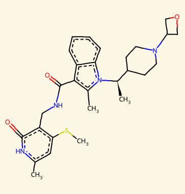 CSc1cc(C)[nH]c(=O)c1CNC(=O)c1c(C)n([C@H](C)C2CCN(C3COC3)CC2)c2ccccc12